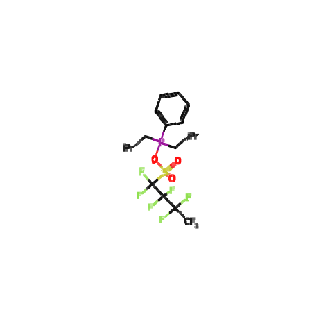 CC(C)C[I+](CC(C)C)(OS(=O)(=O)C(F)(F)C(F)(F)C(F)(F)C(F)(F)F)c1ccccc1